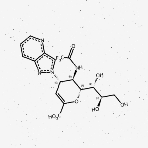 O=C(O)C1=C[C@H](n2cc3ncccc3n2)[C@@H](NC(=O)C(F)(F)F)[C@H]([C@H](O)[C@H](O)CO)O1